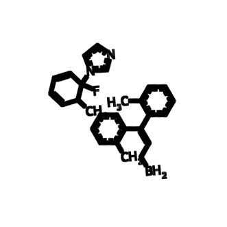 BCC=C(c1ccccc1C)c1ccccc1C.CC1C=CC=CC1(F)n1ccnc1